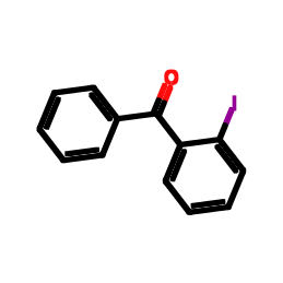 O=C(c1ccccc1)c1ccccc1I